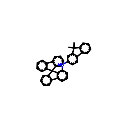 CC1(C)c2ccccc2-c2ccc(Nc3cccc4c3C3(c5ccccc5-c5ccccc53)c3ccccc3-4)cc21